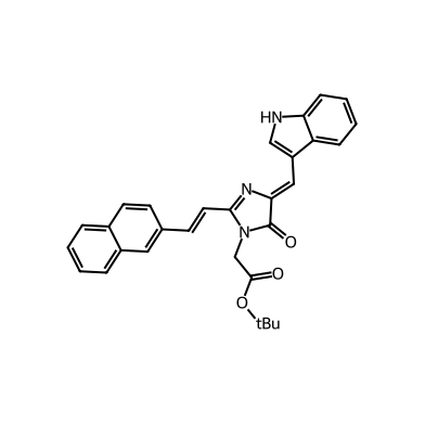 CC(C)(C)OC(=O)CN1C(=O)/C(=C/c2c[nH]c3ccccc23)N=C1/C=C/c1ccc2ccccc2c1